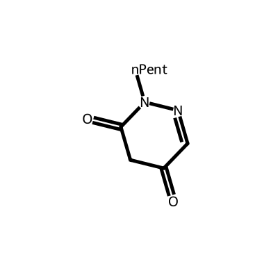 CCCCCN1N=CC(=O)CC1=O